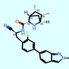 C[C@@H]1[C@H](C)[C@@H]2C[C@@H]1[C@@H](C(=O)N[C@H](C#N)Cc1ccc(-c3ccc4cn(C)nc4c3)cc1F)N2